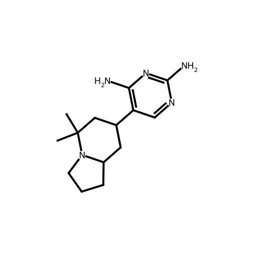 CC1(C)CC(c2cnc(N)nc2N)CC2CCCN21